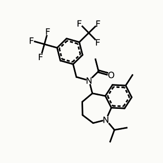 CC(=O)N(Cc1cc(C(F)(F)F)cc(C(F)(F)F)c1)C1CCCN(C(C)C)c2ccc(C)cc21